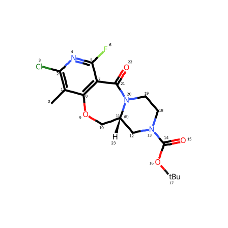 Cc1c(Cl)nc(F)c2c1OC[C@H]1CN(C(=O)OC(C)(C)C)CCN1C2=O